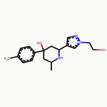 CC1CC(O)(c2ccc(C(F)(F)F)cc2)CC(c2cnn(CCO)c2)N1